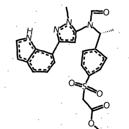 COC(=O)CS(=O)(=O)c1ccc([C@@H](C)N(C=O)c2cc(-c3cccc4cc[nH]c34)nn2C)cc1